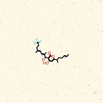 C/C=C/CCC(C)c1cc(O)c(C(=O)/C(C)=C/C=C(\C)CCC(F)(F)F)c(=O)o1